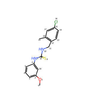 COc1cccc(NC(=S)NCc2ccc(Cl)cc2C)c1